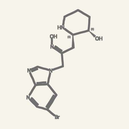 ON=C(C[C@H]1NCCC[C@@H]1O)Cn1cnc2ncc(Br)cc21